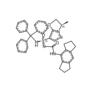 C[C@@H]1COc2c([S@@](=O)(=NC(=O)Nc3c4c(cc5c3CCC5)CCC4)NC(c3ccccc3)(c3ccccc3)c3ccccc3)cnn21